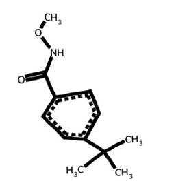 CONC(=O)c1ccc(C(C)(C)C)cc1